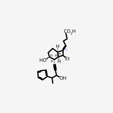 CCC1/C(=C/CCC(=O)O)[C@@H]2CC[C@H](O)[C@@H](C#CC(O)C(C)c3ccccc3)[C@H]12